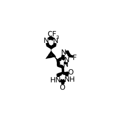 O=c1[nH]cc(-c2cc([C@H]3C[C@@H]3c3cnc(C(F)(F)F)nc3)c3ncc(F)n3n2)c(=O)[nH]1